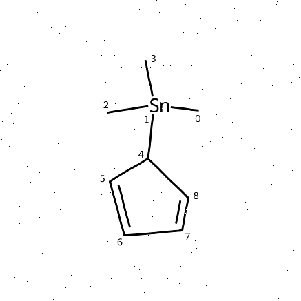 [CH3][Sn]([CH3])([CH3])[CH]1C=CC=C1